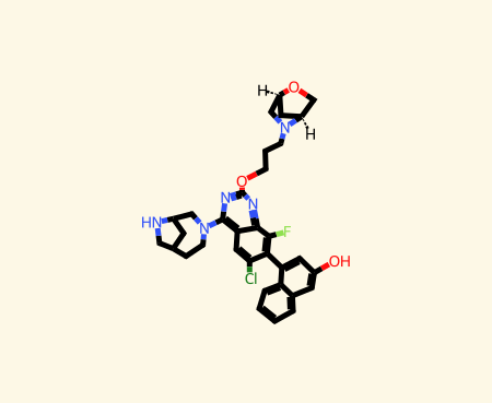 Oc1cc(-c2c(Cl)cc3c(N4CCC5CNC(C5)C4)nc(OCCCN4C[C@@H]5C[C@H]4CO5)nc3c2F)c2ccccc2c1